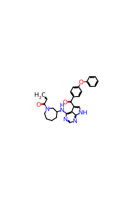 C=CC(=O)N1CCCCC(Nc2ncnc3[nH]cc(C(=O)c4ccc(Oc5ccccc5)cc4)c23)C1